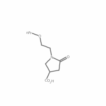 CCCOCCN1CC(C(=O)O)CC1=O